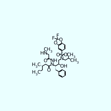 CC[C@H](C)CC(=O)N(NC(=O)CNC)[C@@H](Cc1ccccc1)[C@H](O)CN(CC(C)C)S(=O)(=O)c1ccc2c(c1)OC(F)(F)O2